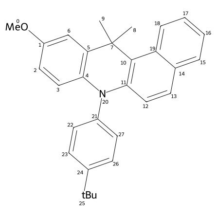 COc1ccc2c(c1)C(C)(C)c1c(ccc3ccccc13)N2c1ccc(C(C)(C)C)cc1